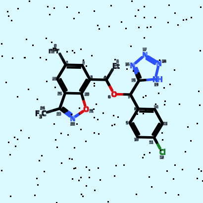 CCCc1cc(C(CC)OC(c2ccc(Cl)cc2)c2nnn[nH]2)c2onc(C(F)(F)F)c2c1